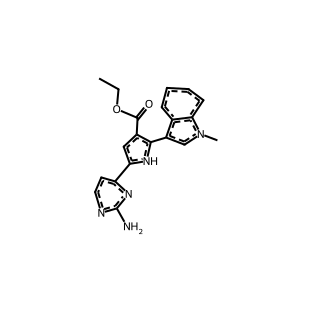 CCOC(=O)c1cc(-c2ccnc(N)n2)[nH]c1-c1cn(C)c2ccccc12